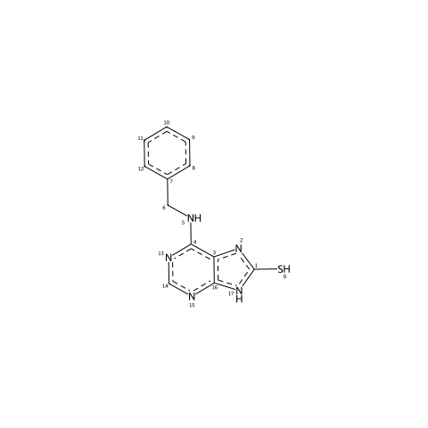 Sc1nc2c(NCc3ccccc3)ncnc2[nH]1